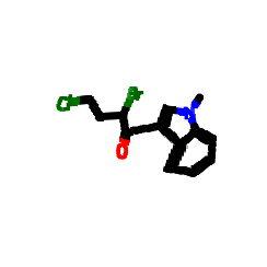 Cn1cc(C(=O)C(Br)CCCl)c2ccccc21